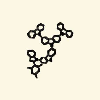 Cc1cc(C)c(-c2cc3ccccc3n2-c2ccc3sc4ccc(-n5c6ccc(-n7c8ccccc8c8ccccc87)cc6c6cc(-n7c8ccccc8c8ccccc87)ccc65)cc4c3c2)c(C)c1